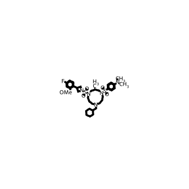 COc1cc(F)ccc1C1CN(S(=O)(=O)N2CCCN(CC3CCCCC3)CCCN(S(=O)(=O)c3ccc(N(C)C)cc3)C[C@H](C)C2)C1